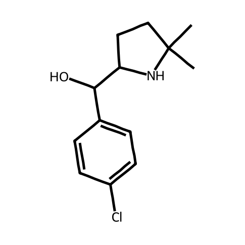 CC1(C)CCC(C(O)c2ccc(Cl)cc2)N1